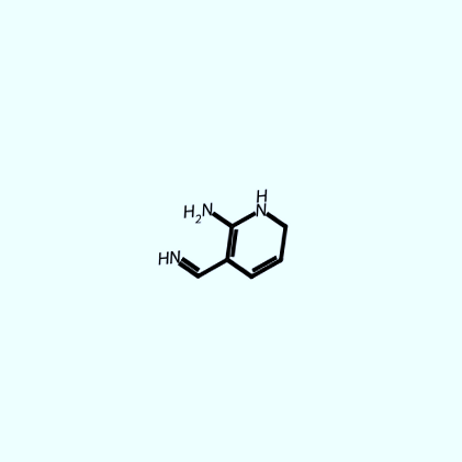 N=CC1=C(N)NCC=C1